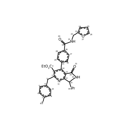 CCOC(=O)c1c(Cc2ccc(F)cc2)nc2c(c1-c1ccc(C(=O)NCc3ccco3)cc1)C(=O)NC2C(C)C